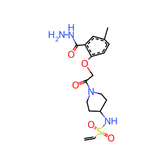 C=CS(=O)(=O)NC1CCN(C(=O)COc2ccc(C)cc2C(=O)NN)CC1